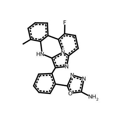 Cc1cccc2c1Nc1c(-c3ccccc3-c3nnc(N)o3)nc3ccc(F)c-2n13